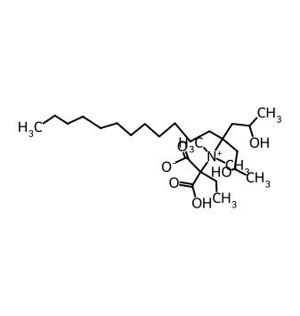 CCCCCCCCCCCCC(CC(C)O)(CC(C)O)[N+](C)(C)C(CC)(C(=O)[O-])C(=O)O